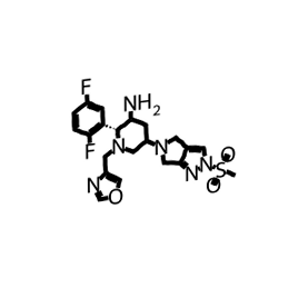 CS(=O)(=O)n1cc2c(n1)CN(C1CC(N)[C@@H](c3cc(F)ccc3F)N(Cc3cocn3)C1)C2